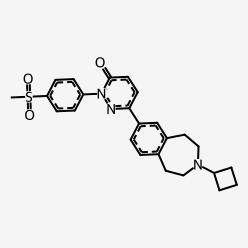 CS(=O)(=O)c1ccc(-n2nc(-c3ccc4c(c3)CCN(C3CCC3)CC4)ccc2=O)cc1